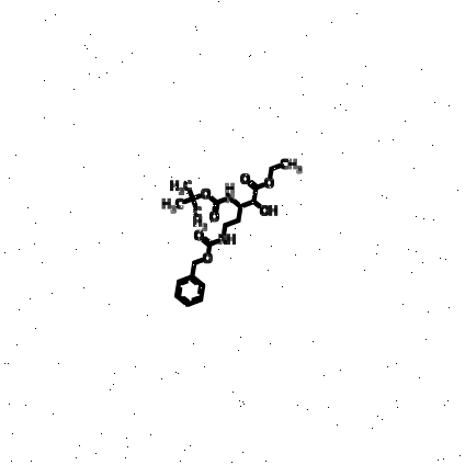 CCOC(=O)C(O)C(CCNC(=O)OCc1ccccc1)NC(=O)OC(C)(C)C